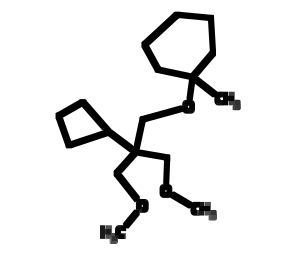 COCC(COC)(COC1(C)CCCCC1)C1CCC1